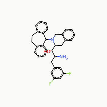 N[C@@H](Cc1cc(F)cc(F)c1)[C@H](O)[C@@H]1Cc2ccccc2CN1C1c2ccccc2CCc2ccccc21